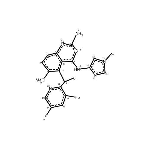 COc1ccc2nc(N)nc(Nc3cn(C)cn3)c2c1C(C)c1ncc(F)cc1F